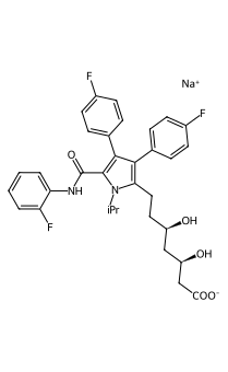 CC(C)n1c(CC[C@@H](O)C[C@@H](O)CC(=O)[O-])c(-c2ccc(F)cc2)c(-c2ccc(F)cc2)c1C(=O)Nc1ccccc1F.[Na+]